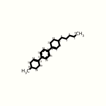 CCCCCC1CC=C(c2ccc(C3=CCC(C)CC3)cc2)CC1